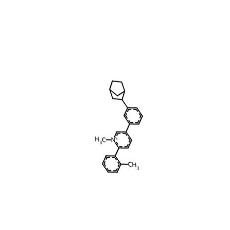 Cc1ccccc1-c1ccc(-c2cccc(C3CC4CCC3C4)c2)c[n+]1C